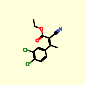 CCOC(=O)C(C#N)=C(C)c1ccc(Cl)c(Cl)c1